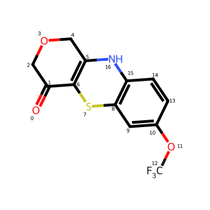 O=C1COCC2=C1Sc1cc(OC(F)(F)F)ccc1N2